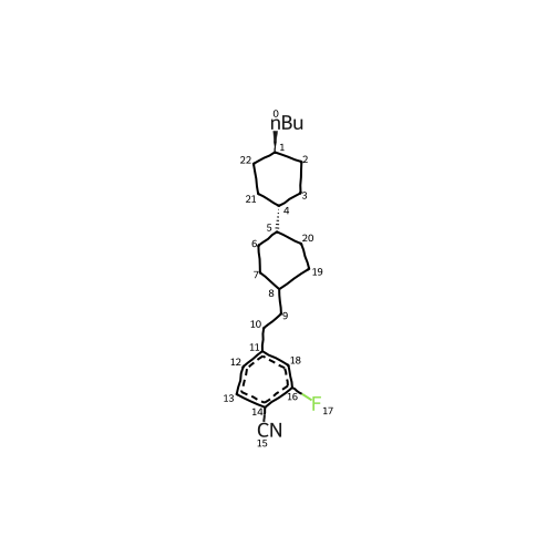 CCCC[C@H]1CC[C@H](C2CCC(CCc3ccc(C#N)c(F)c3)CC2)CC1